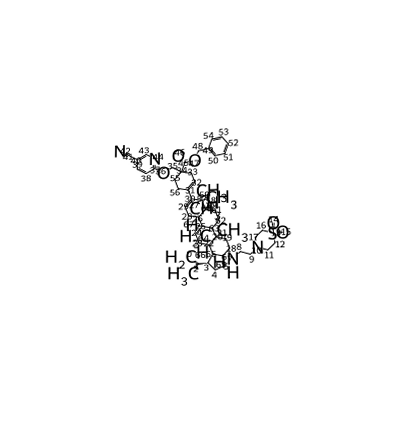 C=C(C)[C@@H]1CC[C@]2(NCCN3CCS(=O)(=O)CC3)CC[C@]3(C)[C@H](CC[C@@H]4[C@@]5(C)CC=C(C6=CCC(COc7ccc(C#N)cn7)(C(=O)OCc7ccccc7)CC6)C(C)(C)[C@@H]5CC[C@]43C)[C@@H]12